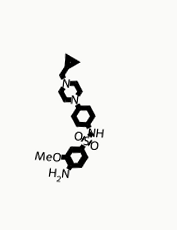 COc1cc(S(=O)(=O)NC2CCC(N3CCN(CC4CC4)CC3)CC2)ccc1N